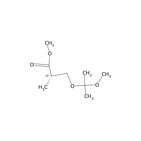 COC(=O)[C@@H](C)COC(C)(C)OC